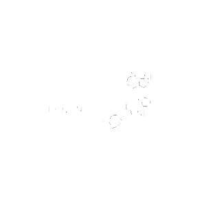 CN1CCN(CCCOc2ccc(CC(=O)Nc3nc(-c4c[nH]c5ncccc45)cs3)c(Cl)c2)CC1